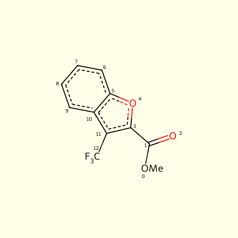 COC(=O)c1oc2ccccc2c1C(F)(F)F